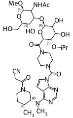 CO[C@@H]1OC(CO)[C@@H](O)C(O[C@@H]2OC(C(=O)N3CCN(C(=O)n4ccc5c(N(C)[C@H]6CN(C(=O)CC#N)CC[C@H]6C)ncnc54)CC3)[C@@H](OC(C)C)C(O)C2O)C1NC(C)=O